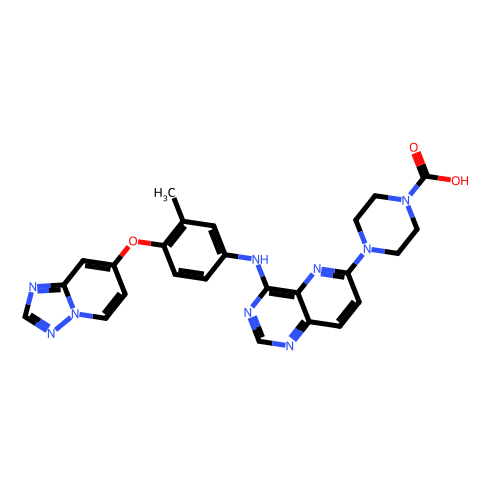 Cc1cc(Nc2ncnc3ccc(N4CCN(C(=O)O)CC4)nc23)ccc1Oc1ccn2ncnc2c1